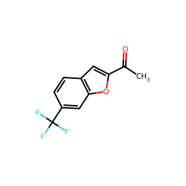 CC(=O)c1cc2ccc(C(F)(F)F)cc2o1